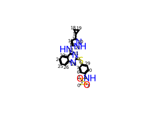 CS(=O)(=O)Nc1ccc(Sc2nc(Nc3cc(C4CC4)n[nH]3)c3ccccc3n2)cc1